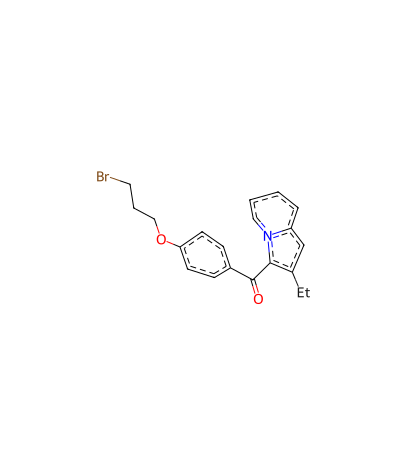 CCc1cc2ccccn2c1C(=O)c1ccc(OCCCBr)cc1